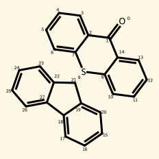 O=c1c2ccccc2sc2ccccc12.c1ccc2c(c1)Cc1ccccc1-2